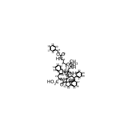 CS(=O)(=O)N[C@@H](CCCCNC(=O)OCc1ccccc1)C(=O)N[C@@H](C(c1ccccc1)c1ccccc1)P(=O)(O)CC1(C(=O)N[C@@H](Cc2c[nH]c3ccccc23)C(=O)O)CCCC1